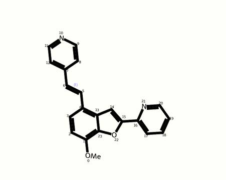 COc1ccc(/C=C/c2ccncc2)c2cc(-c3ccccn3)oc12